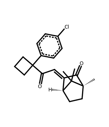 CC1(C)[C@H]2CC[C@]1(C)C(=O)/C2=C/C(=O)C1(c2ccc(Cl)cc2)CCC1